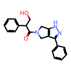 O=C(C(CO)c1ccccc1)N1Cc2[nH]nc(-c3ccccc3)c2C1